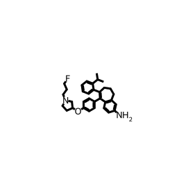 CC(C)c1ccccc1C1=C(c2ccc(OC3CCN(CCCF)C3)cc2)c2ccc(N)cc2CCC1